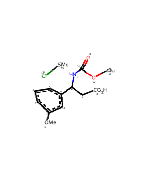 COc1cccc(C(CC(=O)O)NC(=O)OC(C)(C)C)c1.CSCl